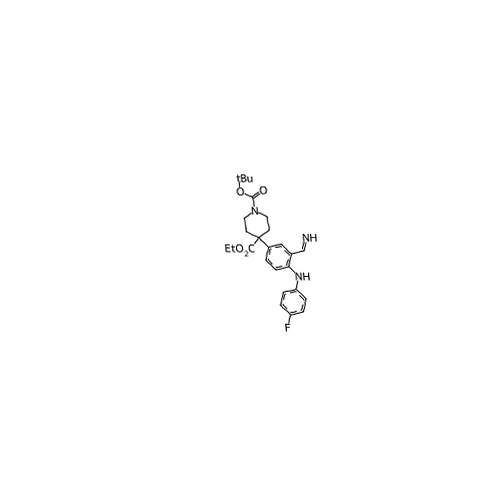 CCOC(=O)C1(c2ccc(Nc3ccc(F)cc3)c(C=N)c2)CCN(C(=O)OC(C)(C)C)CC1